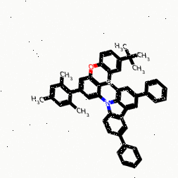 Cc1cc(C)c(-c2cc3c4c(c2)-n2c5ccc(-c6ccccc6)cc5c5cc(-c6ccccc6)cc(c52)B4c2cc(C(C)(C)C)ccc2O3)c(C)c1